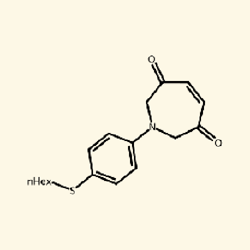 CCCCCCSc1ccc(N2CC(=O)C=CC(=O)C2)cc1